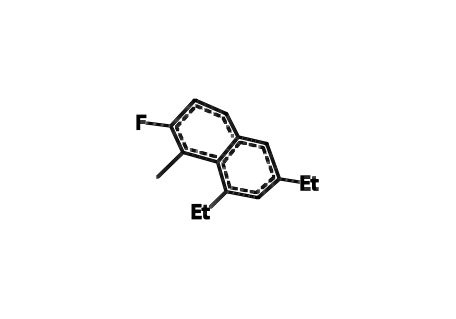 CCc1cc(CC)c2c(C)c(F)ccc2c1